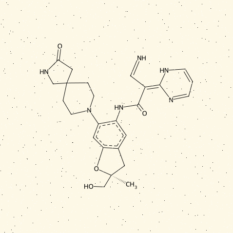 C[C@@]1(CO)Cc2cc(NC(=O)/C(C=N)=C3\N=CC=CN3)c(N3CCC4(CC3)CNC(=O)C4)cc2O1